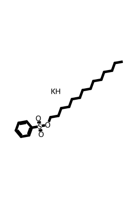 CCCCCCCCCCCCCCOS(=O)(=O)c1ccccc1.[KH]